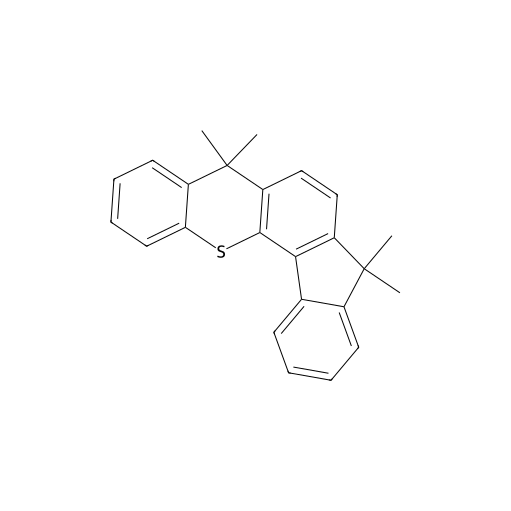 CC1(C)c2ccccc2Sc2c1ccc1c2-c2ccccc2C1(C)C